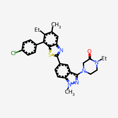 CCc1c(C)cc2nc(-c3ccc4c(c3)c(N3CCN(CC)C(=O)C3)nn4C)sc2c1-c1ccc(Cl)cc1